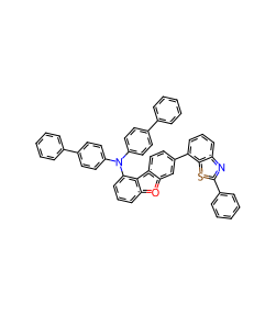 c1ccc(-c2ccc(N(c3ccc(-c4ccccc4)cc3)c3cccc4oc5cc(-c6cccc7nc(-c8ccccc8)sc67)ccc5c34)cc2)cc1